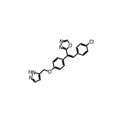 Clc1ccc(C=C(c2ccc(OCc3ccn[nH]3)cc2)c2nnco2)cc1